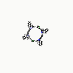 CC1(C)C2=CC=C3CCC(=C3Cl)C=CC3=[N+](CCCCCC[N+]4=C(C=CC5=C(Cl)C(=CC=C6N(CCCCCCN2c2ccc7ccccc7c21)c1ccc2ccccc2c1C6(C)C)CC5)C(C)(C)c1c4ccc2ccccc12)c1ccc2ccccc2c1C3(C)C